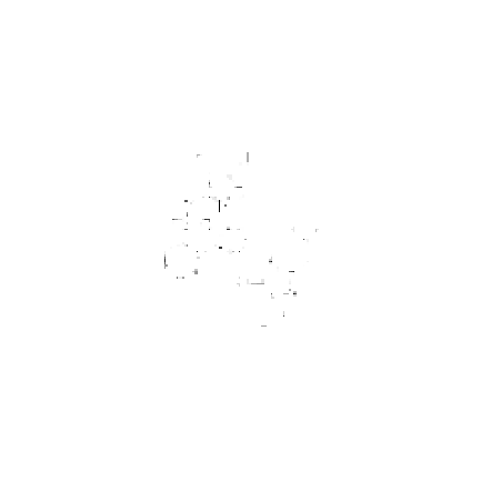 Cc1onc(NS(=O)(=O)c2ccccc2-n2ccc(CN3C(=O)C4(CCCC4)N=C3CC3CCC3)c2)c1C